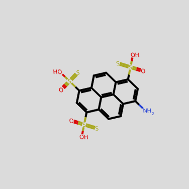 Nc1cc(S(=O)(O)=S)c2ccc3c(S(=O)(O)=S)cc(S(=O)(O)=S)c4ccc1c2c43